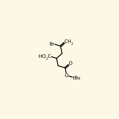 C=C(Br)CC(CC(=O)OC(C)(C)C)C(=O)O